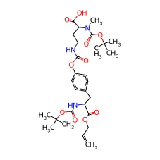 C=CCOC(=O)C(Cc1ccc(OC(=O)NCCC(C(=O)O)N(C)C(=O)OC(C)(C)C)cc1)NC(=O)OC(C)(C)C